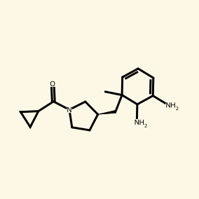 CC1(C[C@H]2CCN(C(=O)C3CC3)C2)C=CC=C(N)C1N